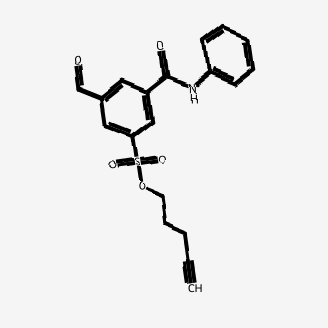 C#CCCCOS(=O)(=O)c1cc(C=O)cc(C(=O)Nc2ccccc2)c1